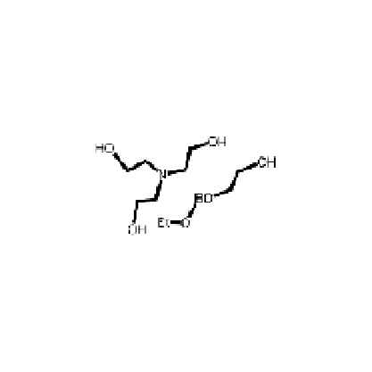 CCOCC.OCCN(CCO)CCO.OCCO